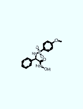 COc1ccc(S(=O)(=O)NC(C(=O)NO)c2ccccc2)cc1